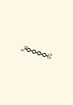 N#CC(C#N)=c1ccc(=c2ccc(=c3ccc(=c4ccc(=C(C#N)C#N)cc4)cc3)cc2)cc1